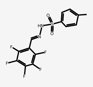 Cc1ccc(S(=O)(=O)NN=Cc2c(F)c(F)c(F)c(F)c2F)cc1